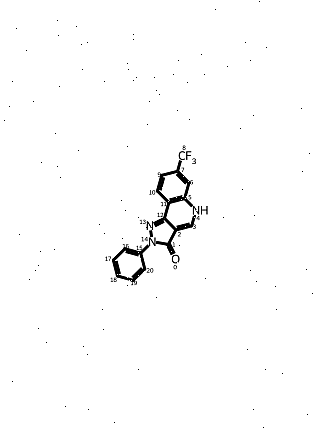 O=c1c2c[nH]c3cc(C(F)(F)F)ccc3c-2nn1-c1ccccc1